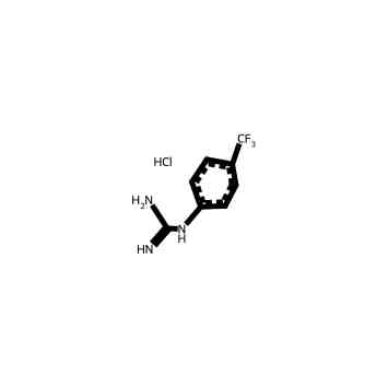 Cl.N=C(N)Nc1ccc(C(F)(F)F)cc1